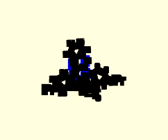 C=CC1(CC)c2cc(C(C)C)ccc2N2c3nc4ccccc4nc3N(c3ccc(C(C)C)cc3)C2C1(C)CC